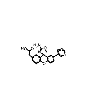 NC1=N[C@]2(CO1)c1cc(CC(=O)O)ccc1Oc1ccc(-c3cncnc3)cc12